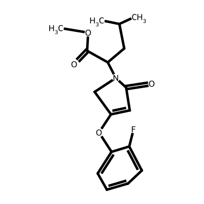 COC(=O)C(CC(C)C)N1CC(Oc2ccccc2F)=CC1=O